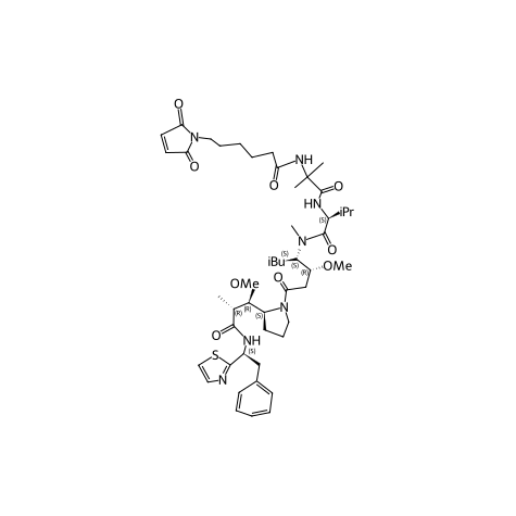 CC[C@H](C)[C@@H]([C@@H](CC(=O)N1CCC[C@H]1[C@H](OC)[C@@H](C)C(=O)N[C@@H](Cc1ccccc1)c1nccs1)OC)N(C)C(=O)[C@@H](NC(=O)C(C)(C)NC(=O)CCCCCN1C(=O)C=CC1=O)C(C)C